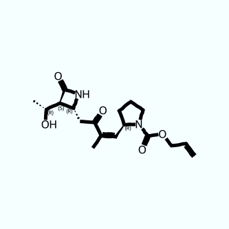 C=CCOC(=O)N1CCC[C@@H]1C=C(C)C(=O)C[C@H]1NC(=O)[C@@H]1[C@@H](C)O